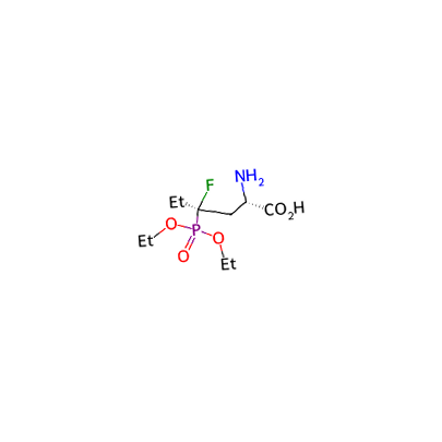 CCOP(=O)(OCC)[C@](F)(CC)C[C@H](N)C(=O)O